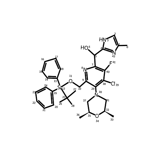 Cc1c[nH]c(C(O)c2nc(CO[Si](c3ccccc3)(c3ccccc3)C(C)(C)C)c(N3C[C@@H](C)O[C@@H](C)C3)c(Cl)c2F)n1